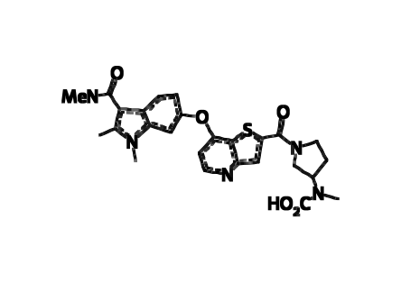 CNC(=O)c1c(C)n(C)c2cc(Oc3ccnc4cc(C(=O)N5CCC(N(C)C(=O)O)C5)sc34)ccc12